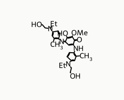 CCN(CCO)c1ccc(/N=C2/C=C(Nc3ccc(N(CC)CCO)cc3C)C(=O)C(OC)=C2O)c(C)c1